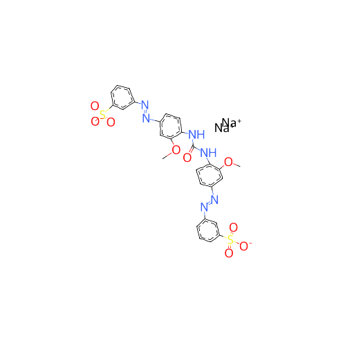 COc1cc(N=Nc2cccc(S(=O)(=O)[O-])c2)ccc1NC(=O)Nc1ccc(N=Nc2cccc(S(=O)(=O)[O-])c2)cc1OC.[Na+].[Na+]